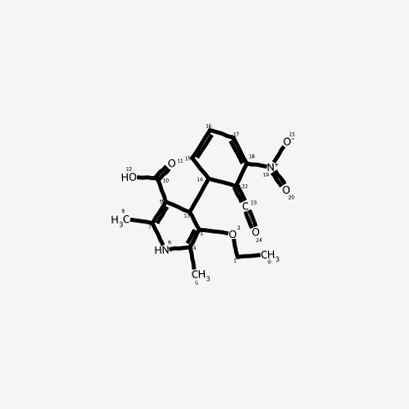 CCOC1=C(C)NC(C)=C(C(=O)O)C1C1C=CC=C([N+](=O)[O-])C1=C=O